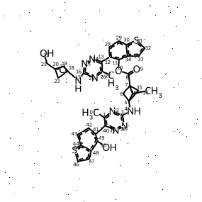 Cc1nc(NC23CC(C(=O)Oc4c(-c5nnc(NC67CC(CO)(C6)C7)nc5C)ccc5sccc45)(C2)C3C)nnc1-c1ccc2sccc2c1O